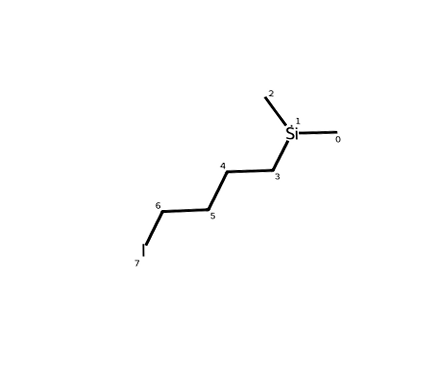 C[Si](C)CCCCI